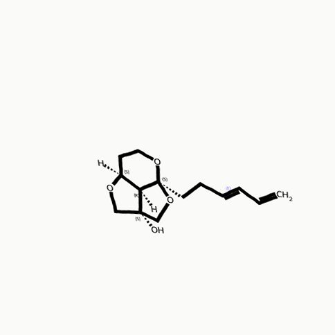 C=C/C=C/CC[C@]12OCC[C@@H]3OC[C@](O)(CO1)[C@@H]32